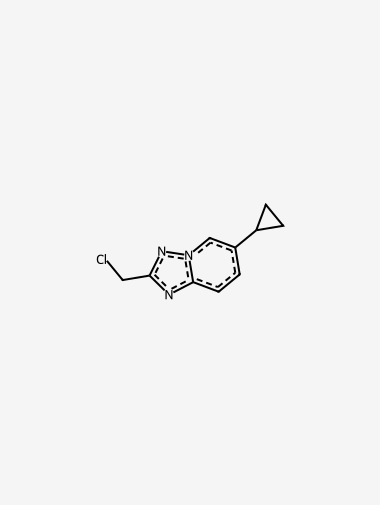 ClCc1nc2ccc(C3CC3)cn2n1